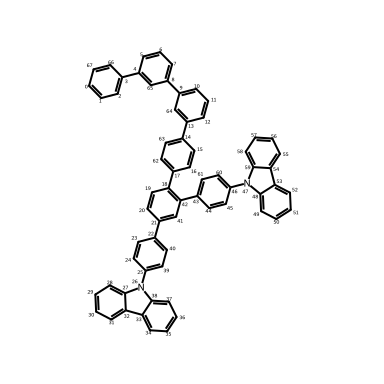 c1ccc(-c2cccc(-c3cccc(-c4ccc(-c5ccc(-c6ccc(-n7c8ccccc8c8ccccc87)cc6)cc5-c5ccc(-n6c7ccccc7c7ccccc76)cc5)cc4)c3)c2)cc1